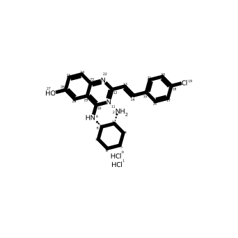 Cl.Cl.N[C@@H]1CCCC[C@@H]1Nc1nc(C=Cc2ccc(Cl)cc2)nc2ccc(O)cc12